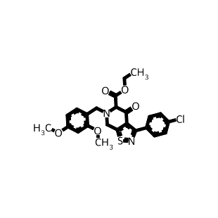 CCOC(=O)C1C(=O)c2c(-c3ccc(Cl)cc3)nsc2CN1Cc1ccc(OC)cc1OC